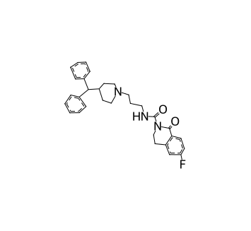 O=C(NCCCN1CCC(C(c2ccccc2)c2ccccc2)CC1)N1CCc2cc(F)ccc2C1=O